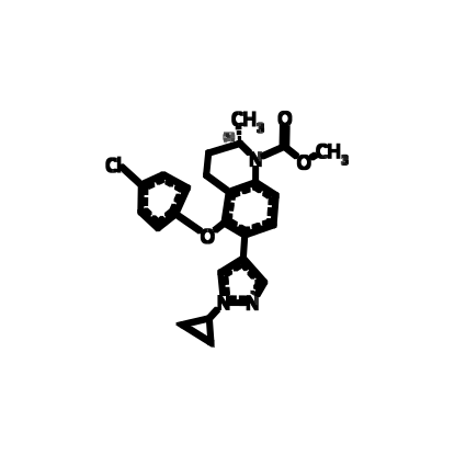 COC(=O)N1c2ccc(-c3cnn(C4CC4)c3)c(Oc3ccc(Cl)cc3)c2CC[C@@H]1C